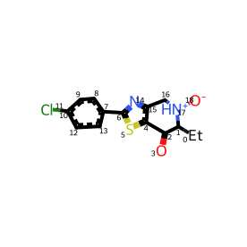 CCC1C(=O)c2sc(-c3ccc(Cl)cc3)nc2C[NH+]1[O-]